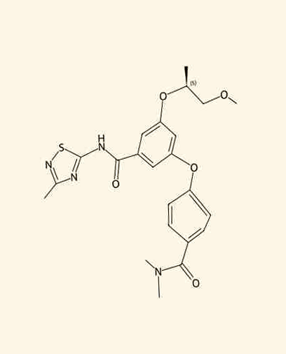 COC[C@H](C)Oc1cc(Oc2ccc(C(=O)N(C)C)cc2)cc(C(=O)Nc2nc(C)ns2)c1